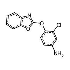 Nc1ccc(Oc2nc3ccccc3o2)c(Cl)c1